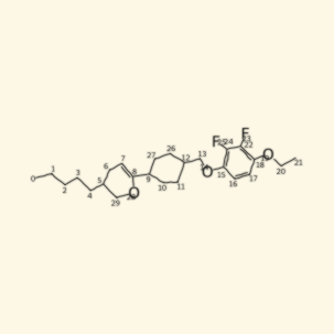 CCCCCC1CC=C(C2CCC(COc3ccc(OCC)c(F)c3F)CC2)OC1